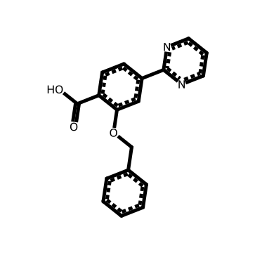 O=C(O)c1ccc(-c2ncccn2)cc1OCc1ccccc1